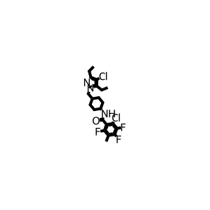 CCc1nn(CC2CCC(NC(=O)c3c(F)c(C)c(F)c(F)c3Cl)CC2)c(CC)c1Cl